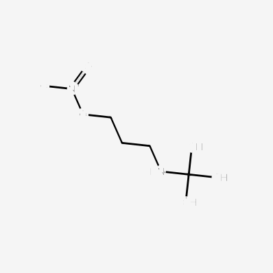 CC(C)(C)NCCCO[N+](=O)[O-]